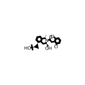 C[C@H]1c2cccc([C@@H]3C[C@H]3C(C)(C)O)c2C[C@H](CO)N1C(=O)Cc1c(Cl)cccc1Cl